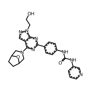 O=C(Nc1ccc(-c2nc(N3CC4CCC(C3)O4)c3cnn(CCO)c3n2)cc1)Nc1cccnc1